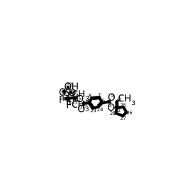 CCC1(OC(=O)c2ccc(C(=O)OC(C)(C)C(F)(F)S(=O)(=O)O)cc2)CCCC1